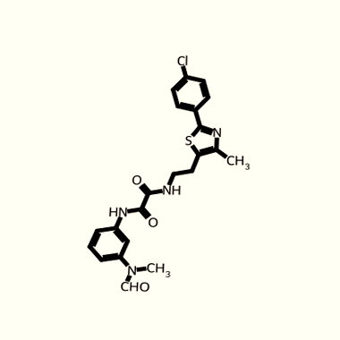 Cc1nc(-c2ccc(Cl)cc2)sc1CCNC(=O)C(=O)Nc1cccc(N(C)C=O)c1